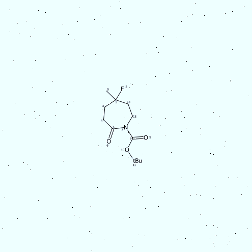 CC1(F)CCC(=O)N(C(=O)OC(C)(C)C)CC1